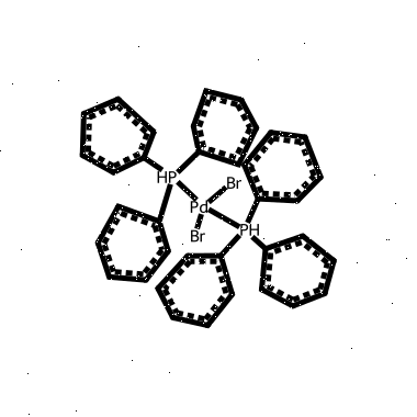 [Br][Pd]([Br])([PH](c1ccccc1)(c1ccccc1)c1ccccc1)[PH](c1ccccc1)(c1ccccc1)c1ccccc1